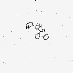 O=C(c1cc(-c2cccnc2)on1)N1CCC[C@H]1c1ccccc1